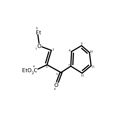 CCOC=C(C(=O)OCC)C(=O)c1ccccc1